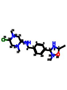 CC1NC(c2ccc(CNC3CN(C)C(Cl)CN3C)cc2)N(C)O1